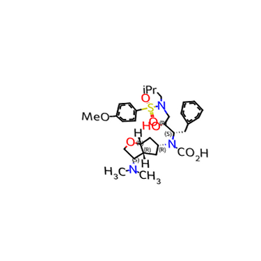 COc1ccc(S(=O)(=O)N(CC(C)C)C[C@@H](O)[C@H](Cc2ccccc2)N(C(=O)O)[C@@H]2C[C@@H]3[C@H](N(C)C)CO[C@@H]3C2)cc1